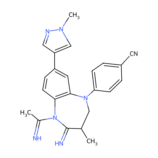 CC(=N)N1C(=N)C(C)CN(c2ccc(C#N)cc2)c2cc(-c3cnn(C)c3)ccc21